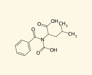 CC(C)CC(C(=O)O)N(C(=O)O)C(=O)c1ccccc1